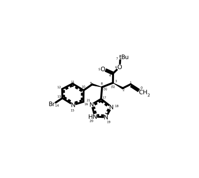 C=CC[C@H](C(=O)OC(C)(C)C)[C@H](Cc1ccc(Br)nc1)c1nn[nH]n1